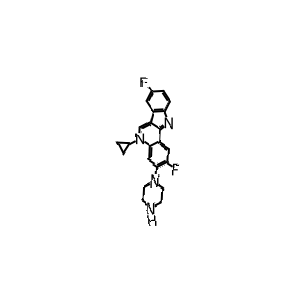 Fc1ccc2nc3c4cc(F)c(N5CCNCC5)cc4n(C4CC4)cc-3c2c1